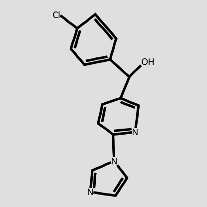 OC(c1ccc(Cl)cc1)c1ccc(-n2ccnc2)nc1